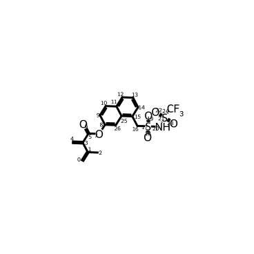 C=C(C)C(=C)C(=O)Oc1ccc2cccc(CS(=O)(=O)NS(=O)(=O)C(F)(F)F)c2c1